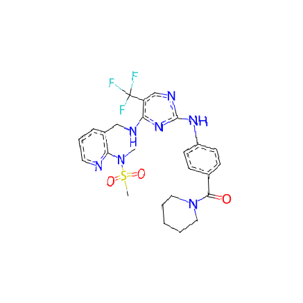 CN(c1ncccc1CNc1nc(Nc2ccc(C(=O)N3CCCCC3)cc2)ncc1C(F)(F)F)S(C)(=O)=O